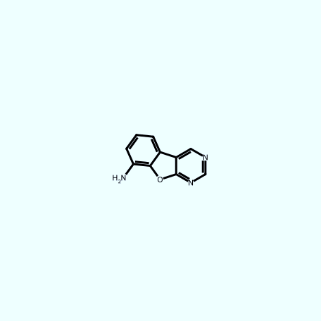 Nc1cccc2c1oc1ncncc12